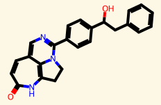 O=C1C=CC2=CN=C(c3ccc(C(O)Cc4ccccc4)cc3)N3CCC(=C23)N1